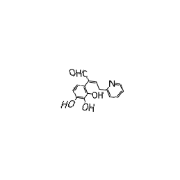 O=CC(=CCc1ccccn1)c1ccc(O)c(O)c1O